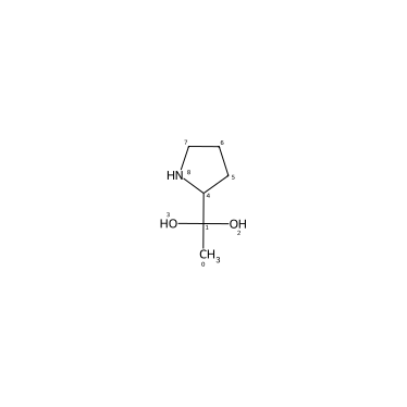 CC(O)(O)C1CCCN1